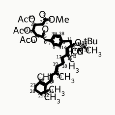 COC(=O)C1O[C@@H](Cc2ccc(CC(C#N)(/C=C(C)/C=C/C=C(C)/C=C/C3=C(C)CCCC3(C)C)O[Si](C)(C)C(C)(C)C)cc2)C(OC(C)=O)[C@@H](OC(C)=O)[C@@H]1OC(C)=O